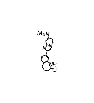 CNc1ccn2cc(-c3ccc4c(c3)NC(=O)CCC4)nc2c1